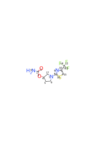 NC(=O)OC1CCN(c2nc(C(F)(F)F)cs2)C1